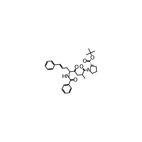 CC(CC(=O)C(CC=Cc1ccccc1)NC(=O)c1ccccc1)C(=O)N1CCC[C@H]1C(=O)OC(C)(C)C